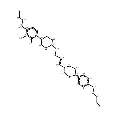 CCCCCc1ccc(C2CCC(/C=C/CCC3CCC(c4ccc(OCCC)c(F)c4F)CC3)CC2)cc1